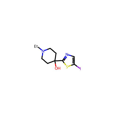 CCN1CCC(O)(c2ncc(I)s2)CC1